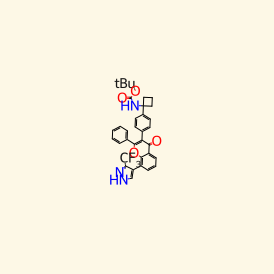 CC(C)(C)OC(=O)NC1(c2ccc(-c3c(-c4ccccc4)oc4c(-c5c[nH]nc5C(F)(F)F)cccc4c3=O)cc2)CCC1